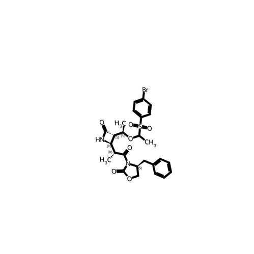 CC(O[C@H](C)[C@H]1C(=O)N[C@@H]1[C@@H](C)C(=O)N1C(=O)OC[C@@H]1Cc1ccccc1)S(=O)(=O)c1ccc(Br)cc1